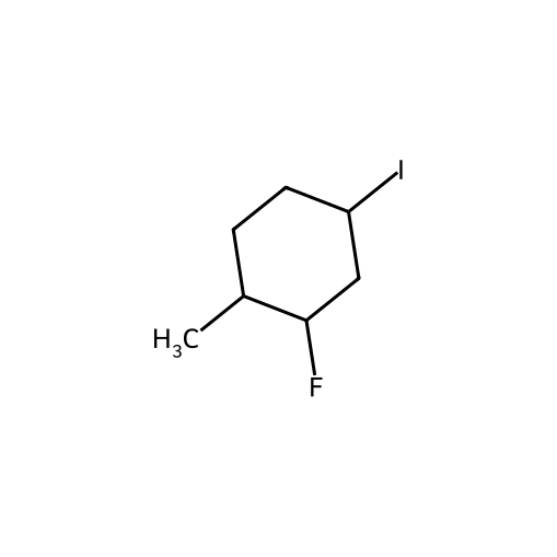 CC1CCC(I)CC1F